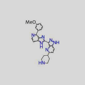 COc1cccc(-c2nccc3[nH]c(-c4n[nH]c5ccc(C6CCNCC6)nc45)nc23)c1